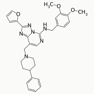 COc1ccc(CNc2ncc(CN3CCC(c4ccccc4)CC3)c3nc(-c4ccco4)nn23)cc1OC